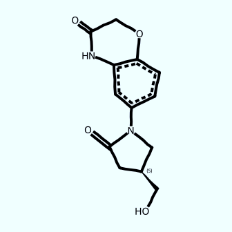 O=C1COc2ccc(N3C[C@@H](CO)CC3=O)cc2N1